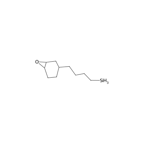 [SiH3]CCCCC1CCC2OC2C1